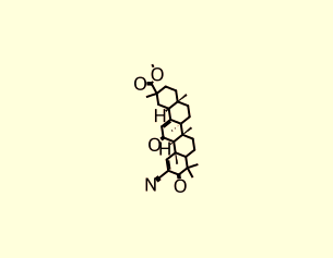 COC(=O)C1(C)CC[C@]2(C)CC[C@]3(C)C(=CC(=O)[C@@H]4[C@@]5(C)C=C(C#N)C(=O)C(C)(C)C5CC[C@]43C)[C@@H]2C1